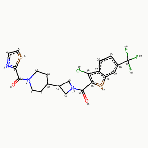 O=C(c1nccs1)N1CCC(C2CN(C(=O)c3sc4cc(C(F)(F)F)ccc4c3Cl)C2)CC1